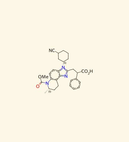 COC(=O)N1c2ccc3c(nc(CC(C(=O)O)c4ccccc4)n3[C@H]3CCCC(C#N)C3)c2CC[C@@H]1C